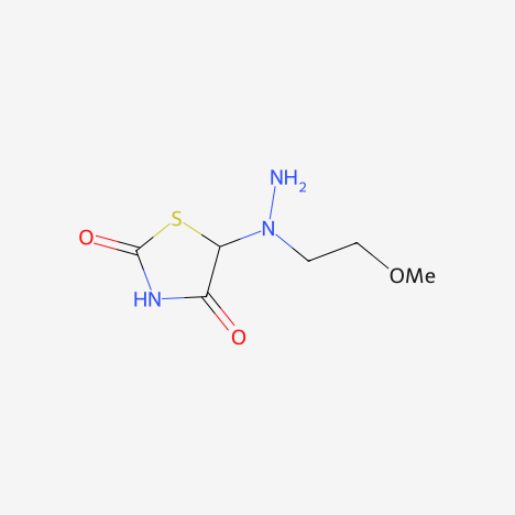 COCCN(N)C1SC(=O)NC1=O